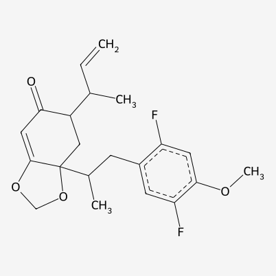 C=CC(C)C1CC2(C(C)Cc3cc(F)c(OC)cc3F)OCOC2=CC1=O